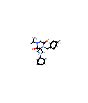 CC(C)N1CC(=O)N(Cc2ccc(Cl)cc2)C2(CN(c3ccccc3)C2)C1=O